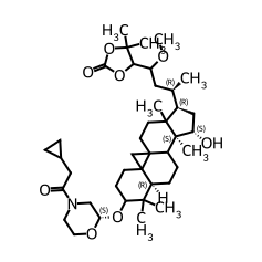 COC(C[C@@H](C)[C@H]1C[C@H](O)[C@@]2(C)C3CC[C@H]4C(C)(C)C(O[C@H]5CN(C(=O)CC6CC6)CCO5)CCC45CC35CCC12C)C1OC(=O)OC1(C)C